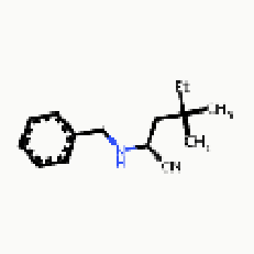 CCC(C)(C)CC(C#N)NCc1ccccc1